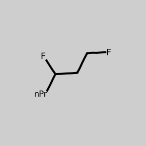 [CH2]CCC(F)CCF